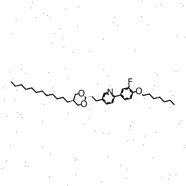 CCCCCCCCCCCC[C@H]1CO[C@H](CCc2ccc(-c3ccc(OCCCCCCC)c(F)c3)nc2)OC1